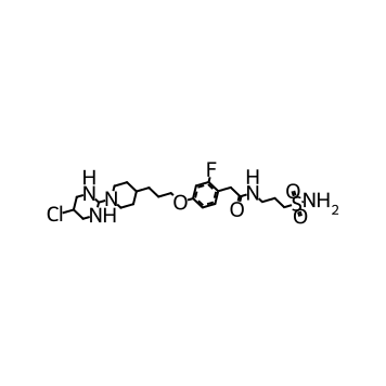 NS(=O)(=O)CCCNC(=O)Cc1ccc(OCCCC2CCN(C3NCC(Cl)CN3)CC2)cc1F